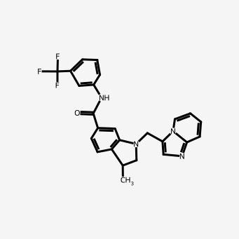 CC1CN(Cc2cnc3ccccn23)c2cc(C(=O)Nc3cccc(C(F)(F)F)c3)ccc21